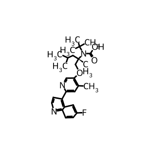 Cc1cc(-c2ccnc3ccc(F)cc23)ncc1OC[C@](C)(CC(C)C)N(C(=O)O)C(C)(C)C